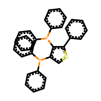 c1ccc(-c2scc(P(c3ccccc3)c3ccccc3)c2P(c2ccccc2)c2ccccc2)cc1